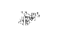 CCC(NC(=O)[C@H](CC(N)=O)NC(=O)[C@@H](NC(=O)[C@@H](NC(C)=O)C(C)C)C(C)C)C(=O)C(F)(F)F